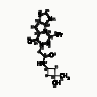 CC(C)c1nn(CC(=O)NC2CC(C)(O)C2)c(=O)c2cc3scnc3n12